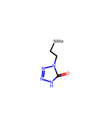 CNCCn1nn[nH]c1=O